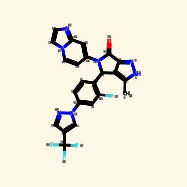 Cc1[nH]nc2c1C(c1ccc(-n3cc(C(F)(F)F)cn3)cc1F)N(c1ccn3ccnc3c1)C2=O